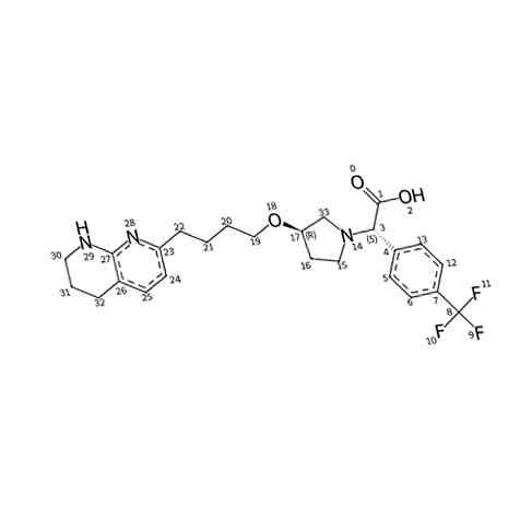 O=C(O)[C@H](c1ccc(C(F)(F)F)cc1)N1CC[C@@H](OCCCCc2ccc3c(n2)NCCC3)C1